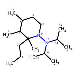 CCCC1(C)C(C)C(C)CCN1N(C(C)C)C(C)C